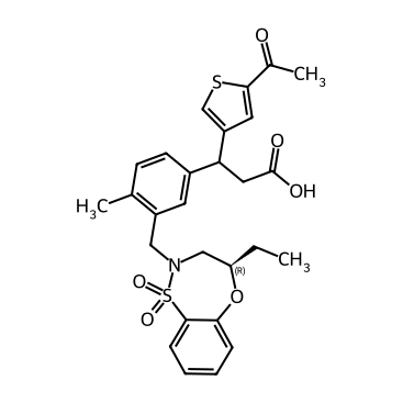 CC[C@@H]1CN(Cc2cc(C(CC(=O)O)c3csc(C(C)=O)c3)ccc2C)S(=O)(=O)c2ccccc2O1